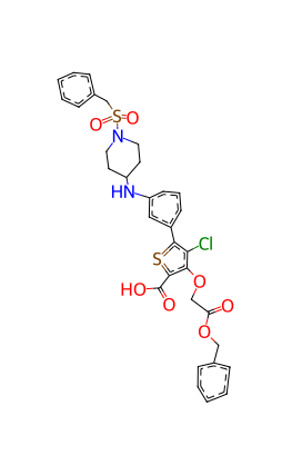 O=C(COc1c(C(=O)O)sc(-c2cccc(NC3CCN(S(=O)(=O)Cc4ccccc4)CC3)c2)c1Cl)OCc1ccccc1